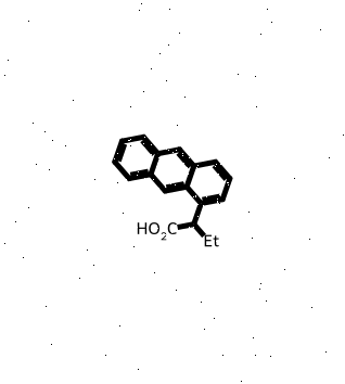 CCC(C(=O)O)c1cccc2cc3ccccc3cc12